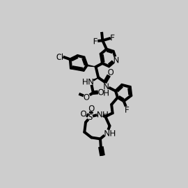 C#CC1CCCS(=O)(=O)NC(CCc2c(F)cccc2NC(=O)[C@@H](NC(=O)OC)[C@@H](c2ccc(Cl)cc2)c2cncc(C(C)(F)F)c2)CN1